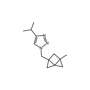 CC(C)c1cn(CC23CC4(C)CC42C3)nn1